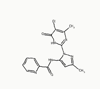 CCc1c(C)nc(-n2nc(C)cc2NC(=O)c2ccccn2)[nH]c1=O